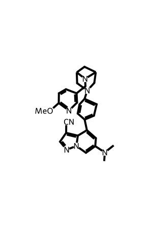 COc1ccc(CN2C3CC2CN(c2ccc(-c4cc(N(C)C)cn5ncc(C#N)c45)cc2)C3)cn1